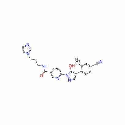 Cc1cc(C#N)ccc1-c1cnn(-c2ccc(C(=O)NCCCn3ccnc3)cn2)c1O